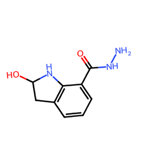 NNC(=O)c1cccc2c1NC(O)C2